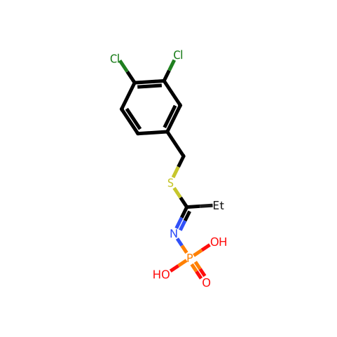 CC/C(=N\P(=O)(O)O)SCc1ccc(Cl)c(Cl)c1